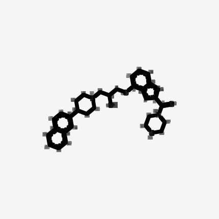 O=C(c1cc2c(OCC(O)CN3CCC(c4ccc5ccccc5c4)CC3)cccc2s1)N1CCOCC1